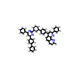 Cc1ccc2ccc3c(-c4ccc(C5CCCC(c6nc(-c7ccccc7)cc(-c7ccc(-c8ccccc8)cc7)n6)C5)cc4)cc(-c4ccccc4)nc3c2n1